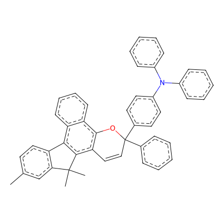 Cc1ccc2c(c1)C(C)(C)c1c3c(c4ccccc4c1-2)OC(c1ccccc1)(c1ccc(N(c2ccccc2)c2ccccc2)cc1)C=C3